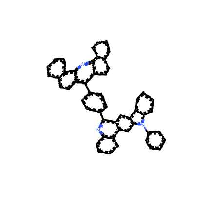 c1ccc(-n2c3ccccc3c3cc4c(-c5ccc(-c6c7ccc8ccccc8c7nc7c6ccc6ccccc67)cc5)nc5ccccc5c4cc32)cc1